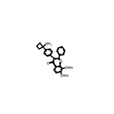 COc1ccc2c(=O)c(-c3ccc(C4(N)CCC4)cc3)c(-c3ccccc3)oc2c1OC